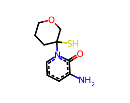 Nc1cccn(C2(S)CCCOC2)c1=O